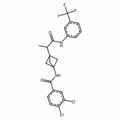 CC(C(=O)Nc1cccc(C(F)(F)F)c1)C12CC(NC(=O)c3ccc(Cl)c(Cl)c3)(C1)C2